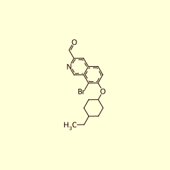 CCC1CCC(Oc2ccc3cc(C=O)ncc3c2Br)CC1